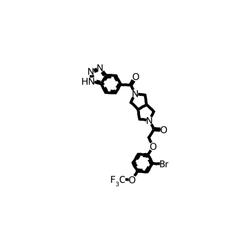 O=C(COc1ccc(OC(F)(F)F)cc1Br)N1CC2CN(C(=O)c3ccc4[nH]nnc4c3)CC2C1